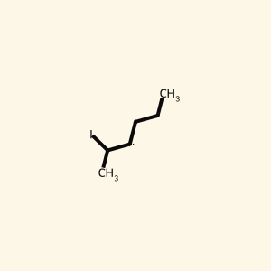 CCC[CH]C(C)I